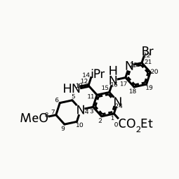 CCOC(=O)c1cc(N2CCC(OC)CC2)c(C(=N)C(C)C)c(Nc2cccc(Br)n2)n1